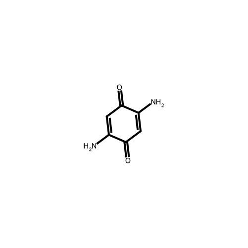 NC1=CC(=O)C(N)=CC1=O